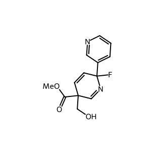 COC(=O)C1(CO)C=CC(F)(c2cccnc2)N=C1